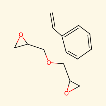 C(OCC1CO1)C1CO1.C=Cc1ccccc1